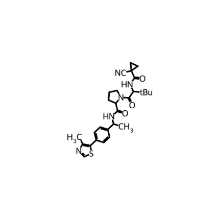 Cc1ncsc1-c1ccc(C(C)NC(=O)C2CCCN2C(=O)C(NC(=O)C2(C#N)CC2)C(C)(C)C)cc1